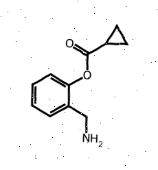 NCc1ccccc1OC(=O)C1CC1